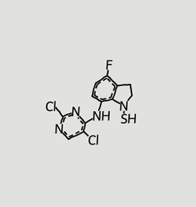 Fc1ccc(Nc2nc(Cl)ncc2Cl)c2c1CCN2S